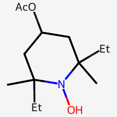 CCC1(C)CC(OC(C)=O)CC(C)(CC)N1O